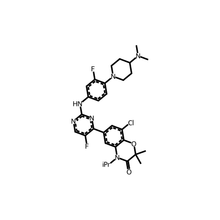 CC(C)N1C(=O)C(C)(C)Oc2c(Cl)cc(-c3nc(Nc4ccc(N5CCC(N(C)C)CC5)c(F)c4)ncc3F)cc21